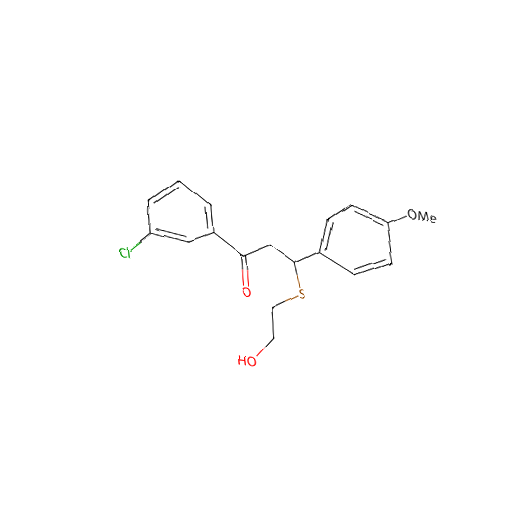 COc1ccc(C(CC(=O)c2cccc(Cl)c2)SCCO)cc1